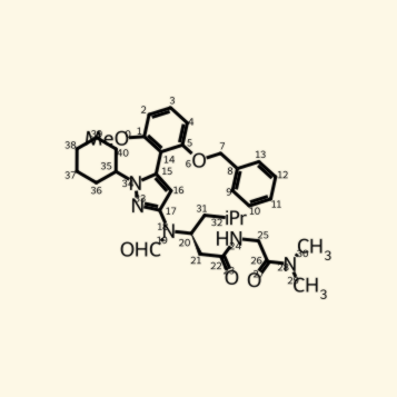 COc1cccc(OCc2ccccc2)c1-c1cc(N(C=O)[C@H](CC(=O)NCC(=O)N(C)C)CC(C)C)nn1C1CCCCC1